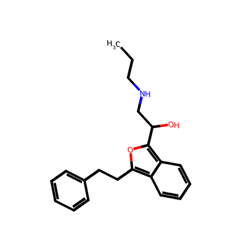 CCCNCC(O)c1oc(CCc2ccccc2)c2ccccc12